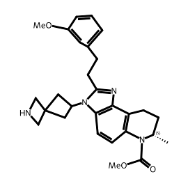 COC(=O)N1c2ccc3c(nc(CCc4cccc(OC)c4)n3C3CC4(CNC4)C3)c2CC[C@@H]1C